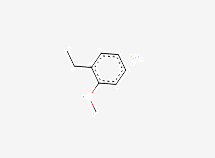 CCc1ccccc1OC.N